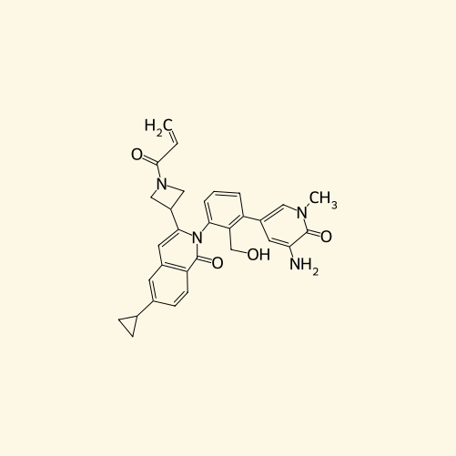 C=CC(=O)N1CC(c2cc3cc(C4CC4)ccc3c(=O)n2-c2cccc(-c3cc(N)c(=O)n(C)c3)c2CO)C1